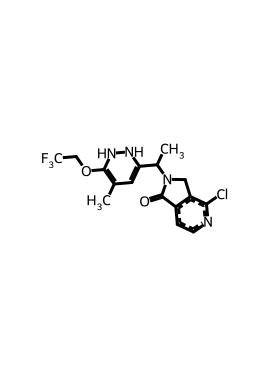 CC1=C(OCC(F)(F)F)NNC(C(C)N2Cc3c(ccnc3Cl)C2=O)=C1